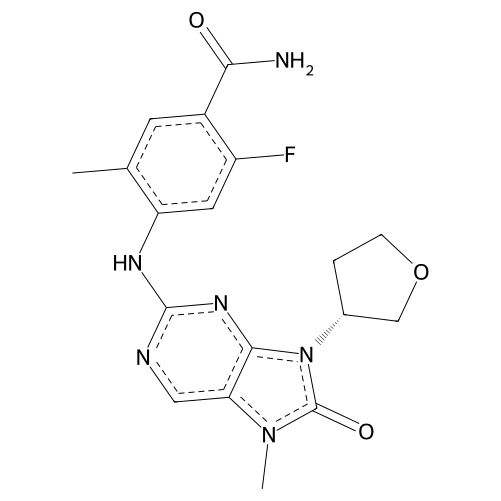 Cc1cc(C(N)=O)c(F)cc1Nc1ncc2c(n1)n([C@@H]1CCOC1)c(=O)n2C